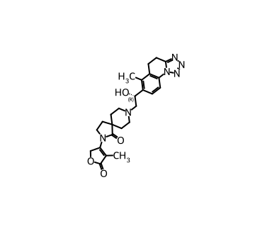 CC1=C(N2CCC3(CCN(C[C@H](O)c4ccc5c(c4C)CCc4nnnn4-5)CC3)C2=O)COC1=O